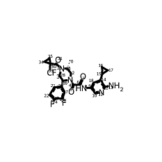 C[C@@H]1CN(C(=O)C(=O)Nc2cnc(N)c(C3CC3)c2)[C@@H](c2ccc(F)c(F)c2)CN1C(=O)C1(C(F)(F)F)CC1